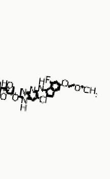 CCOCCOc1cc(F)c2c(c1)CCC2Nc1nc2nc(O[C@@H]3CO[C@H]4C3OC[C@H]4O)[nH]c2cc1Cl